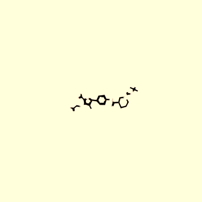 Cc1c(-c2ccc(NC(=O)C3CCCN(C(=O)OC(C)(C)C)C3)cc2)sc(C(=O)O)c1OCC(=O)O